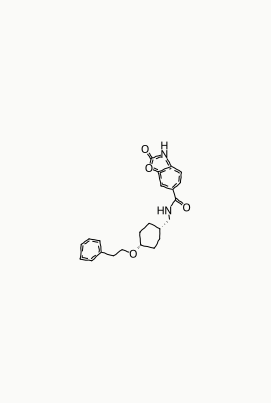 O=C(NC[C@H]1CC[C@@H](OCCc2ccccc2)CC1)c1ccc2[nH]c(=O)oc2c1